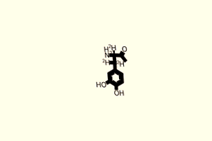 [2H]C([2H])(c1ccc(O)c(O)c1)[C@]([2H])(N)C(C)=O